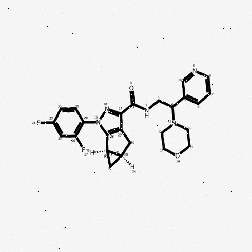 O=C(NCC(c1cccnc1)N1CCOCC1)c1nn(-c2ccc(F)cc2F)c2c1C[C@H]1C[C@@H]21